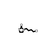 O=C1SCCN1CCCCCl